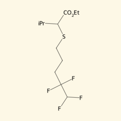 CCOC(=O)C(SCCCC(F)(F)C(F)F)C(C)C